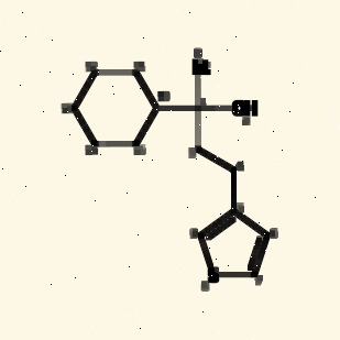 CCC(O)(CCc1ccsc1)C1CCCCC1